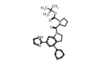 CC(C)(C)OC(=O)N1CCCC1C(=O)N1CCc2c(-c3ccccc3)cc(-c3ncc[nH]3)cc21